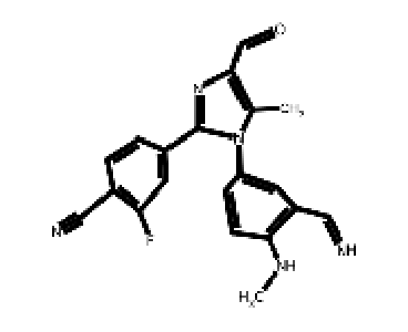 CNc1ccc(-n2c(-c3ccc(C#N)c(F)c3)nc(C=O)c2C)cc1C=N